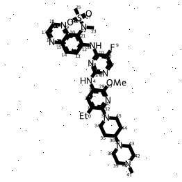 CCc1cc(Nc2ncc(F)c(Nc3ccc4nccnc4c3N(C)S(C)(=O)=O)n2)c(OC)nc1N1CCC(N2CCN(C)CC2)CC1